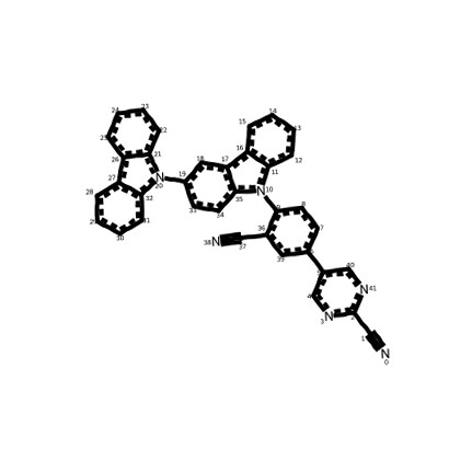 N#Cc1ncc(-c2ccc(-n3c4ccccc4c4cc(-n5c6ccccc6c6ccccc65)ccc43)c(C#N)c2)cn1